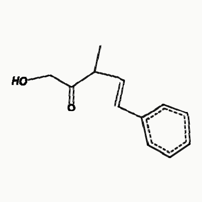 CC(C=Cc1ccccc1)C(=O)CO